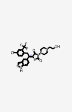 O=C1S/C(=C(/Cc2ccc(Cl)cc2C(F)(F)F)c2ccc3[nH]ncc3c2)C(=O)N1N1CCN(CCO)CC1